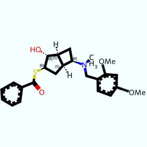 COc1ccc(CN(C)[C@@H]2C[C@@H]3[C@@H](O)[C@H](SC(=O)c4ccccc4)C[C@@H]32)c(OC)c1